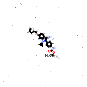 CC(C)OC(=O)Nc1ccc(-c2c(N)c3ccc(OCC4CCCO4)cc3n2C2CC2)cc1